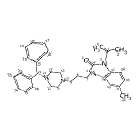 C=C(C)n1c(=O)n(CCCN2CCN(C(c3ccccc3)c3ccccc3)CC2)c2cc(C)ccc21